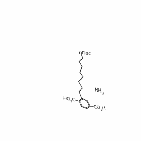 CCCCCCCCCCCCCCCCCCc1cc(C(=O)O)ccc1C(=O)O.N